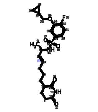 CC(/C=C/CCCC1CCC(=O)NC1=O)NS(=O)(=O)c1ccc(F)c(OCC2CC2)c1